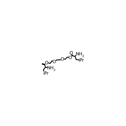 C=C(OCCOCCOCCOC(=O)C(N)CC(C)C)C(N)CC(C)C